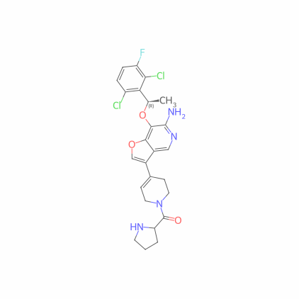 C[C@@H](Oc1c(N)ncc2c(C3=CCN(C(=O)C4CCCN4)CC3)coc12)c1c(Cl)ccc(F)c1Cl